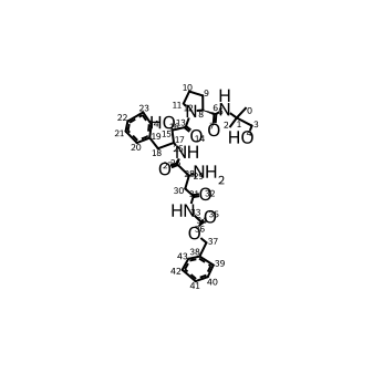 CC(C)(CO)NC(=O)[C@@H]1CCCN1C(=O)C(O)C(Cc1ccccc1)NC(=O)[C@@H](N)CC(=O)NC(=O)OCc1ccccc1